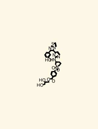 O=C(OC[C@H](O)CO)c1ccc(S(=O)(=O)N2CCC[C@@H](Nc3nccc(C4C(c5cccc(O)c5)N=C5SC=CN54)n3)C2)cc1